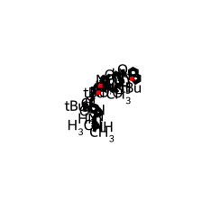 Cc1[nH]nc(Nc2ncnc3cc(OCCN4CCN(c5ncc(O[C@H]6C[C@@H](C(=O)N[C@@H]7CCCc8ccccc87)N(C(=O)[C@@H](NC(=O)[C@H](C)N(C)C(=O)OC(C)(C)C)C(C)(C)C)C6)cn5)CC4)c(S(=O)(=O)C(C)(C)C)cc23)c1C